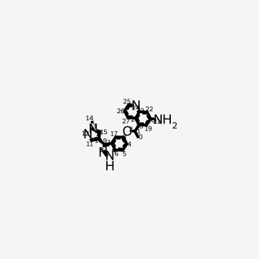 CC(Oc1ccc2[nH]nc(-c3cnn(C)c3)c2c1)c1cc(N)cc2ncccc12